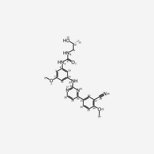 COc1cc(NC(=O)NC[C@@H](C)O)cc(Nc2nccc(-c3ccc(OC)c(C#N)c3)n2)c1